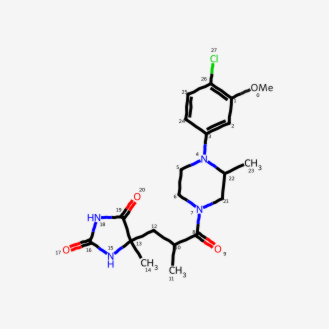 COc1cc(N2CCN(C(=O)C(C)CC3(C)NC(=O)NC3=O)CC2C)ccc1Cl